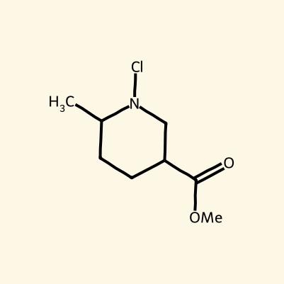 COC(=O)C1CCC(C)N(Cl)C1